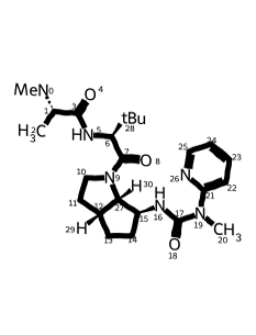 CN[C@@H](C)C(=O)N[C@H](C(=O)N1CC[C@H]2CC[C@H](NC(=O)N(C)c3ccccn3)[C@H]21)C(C)(C)C